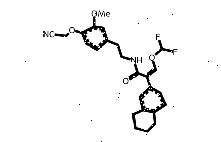 COc1cc(CCNC(=O)/C(=C\OC(F)F)c2ccc3c(c2)CCCC3)ccc1OCC#N